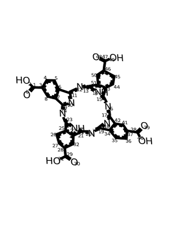 O=C(O)c1ccc2c(c1)-c1nc-2nc2[nH]c(nc3nc(nc4[nH]c(n1)c1ccc(C(=O)O)cc41)-c1ccc(C(=O)O)cc1-3)c1ccc(C(=O)O)cc21